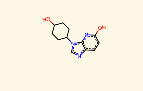 Oc1ccc2ncn(C3CCC(O)CC3)c2n1